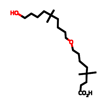 CC(C)(CCCCO)CCCCOCCCCC(C)(C)CCC(=O)O